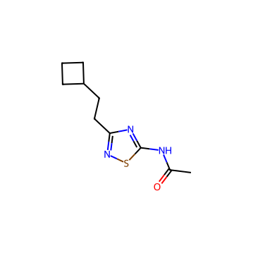 CC(=O)Nc1nc(CCC2CCC2)ns1